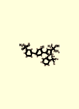 CC(C)(O)c1cc(-c2ccc(-c3cccc(S(C)(=O)=O)c3)cc2Cl)n(-c2cnccc2C(F)(F)F)n1